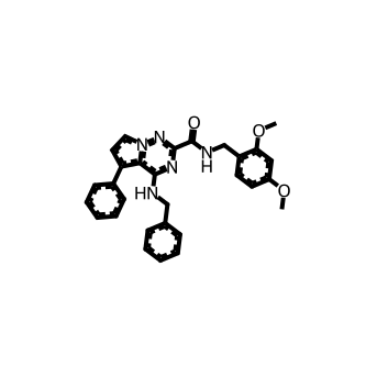 COc1ccc(CNC(=O)c2nc(NCc3ccccc3)c3c(-c4ccccc4)ccn3n2)c(OC)c1